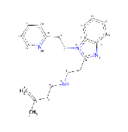 C=C(C)CCNCCc1nc2ccccc2n1CCc1ccccn1